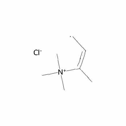 [CH2]C=C(C)[N+](C)(C)C.[Cl-]